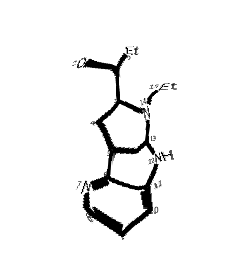 CCC(=O)C1CC2c3ncccc3NC2N1CC